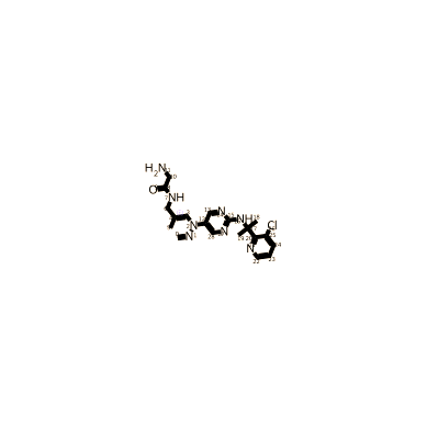 C=NN(/C=C(\C)CNC(=O)CN)c1cnc(NC(C)(C)c2ncccc2Cl)nc1